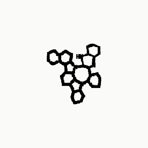 C1=CC2=Nc3c(n4c5ccc6ccccc6c5c5ccc6c7ccccc7n(c7ccccc37)c6c54)NC2C=C1